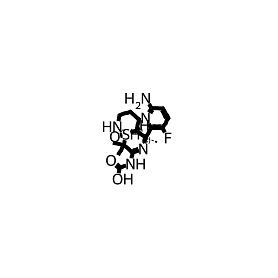 CC1(C)C(NC(=O)O)=N[C@](C)(c2nc(N)ccc2F)[C@H]2CCCN[SH]21=O